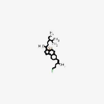 CCC(CCC(C)C1CCC2C3CCC(CC(C)CCCF)CC3CCC12S)C(C)C